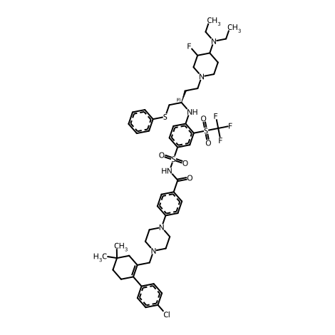 CCN(CC)C1CCN(CC[C@H](CSc2ccccc2)Nc2ccc(S(=O)(=O)NC(=O)c3ccc(N4CCN(CC5=C(c6ccc(Cl)cc6)CCC(C)(C)C5)CC4)cc3)cc2S(=O)(=O)C(F)(F)F)CC1F